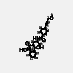 COCC#Cc1ccc(C(=O)NC(CO)CC(Cc2ccccc2)C(=O)NO)cc1